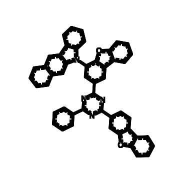 c1ccc(-c2nc(-c3ccc4c(c3)oc3ccccc34)nc(-c3cc(-n4c5ccccc5c5cc6ccccc6cc54)c4oc5ccccc5c4c3)n2)cc1